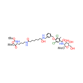 COC(=O)[C@H](CCCCNC(=O)CCCCCCC(O)NCc1cccc(COc2c(Cl)cc(C(=O)N[C@H]3[C@@H](OC)O[C@H](CO)[C@@H](O)[C@@H]3O)c(C)c2Cl)c1)NC(=O)OC(C)(C)C